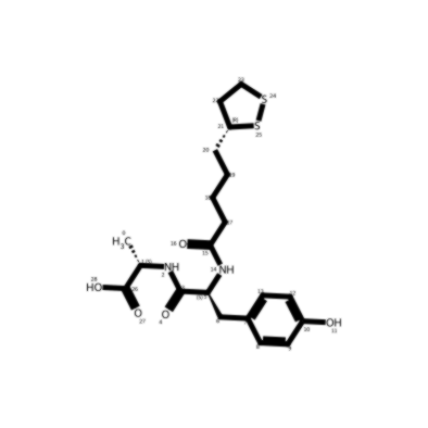 C[C@H](NC(=O)[C@H](Cc1ccc(O)cc1)NC(=O)CCCC[C@@H]1CCSS1)C(=O)O